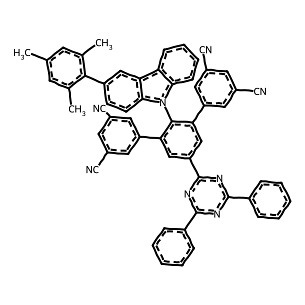 Cc1cc(C)c(-c2ccc3c(c2)c2ccccc2n3-c2c(-c3cc(C#N)cc(C#N)c3)cc(-c3nc(-c4ccccc4)nc(-c4ccccc4)n3)cc2-c2cc(C#N)cc(C#N)c2)c(C)c1